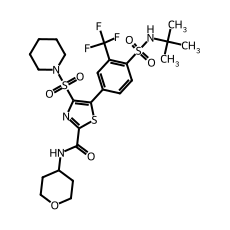 CC(C)(C)NS(=O)(=O)c1ccc(-c2sc(C(=O)NC3CCOCC3)nc2S(=O)(=O)N2CCCCC2)cc1C(F)(F)F